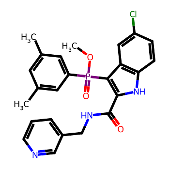 COP(=O)(c1cc(C)cc(C)c1)c1c(C(=O)NCc2cccnc2)[nH]c2ccc(Cl)cc12